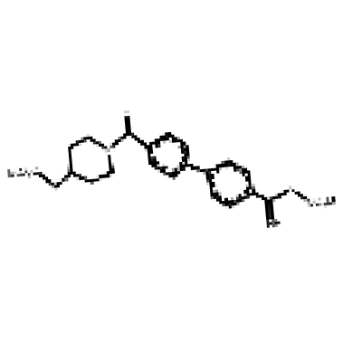 CCOC(=O)CC1CCN(C(=O)c2ccc(-c3ccc(C(=N)NC(=O)OCC)cc3)cc2)CC1